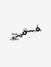 CN[C@@H](COP(=O)(O)O)c1nnc(-c2ccc(OCCCCOc3cc(F)cc(F)c3)c(C(F)(F)F)c2)s1